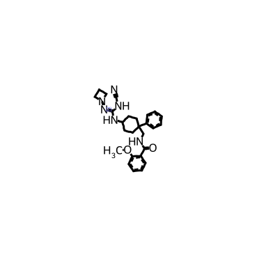 COc1ccccc1C(=O)NCC1(c2ccccc2)CCC(N/C(=N/N2CCC2)NC#N)CC1